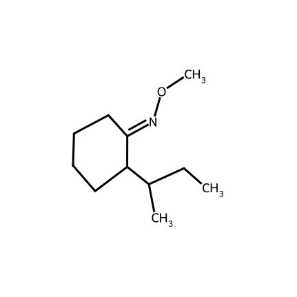 CCC(C)C1CCCCC1=NOC